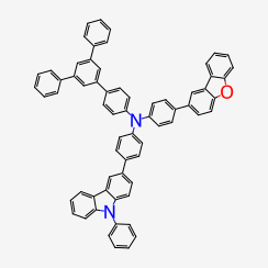 c1ccc(-c2cc(-c3ccccc3)cc(-c3ccc(N(c4ccc(-c5ccc6oc7ccccc7c6c5)cc4)c4ccc(-c5ccc6c(c5)c5ccccc5n6-c5ccccc5)cc4)cc3)c2)cc1